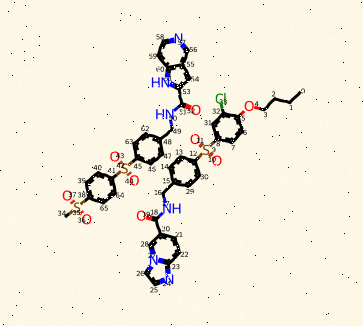 CCCCOc1ccc(S(=O)(=O)c2ccc(CNC(=O)c3ccc4nccn4c3)cc2)cc1Cl.CS(=O)(=O)c1ccc(S(=O)(=O)c2ccc(CNC(=O)c3cc4cnccc4[nH]3)cc2)cc1